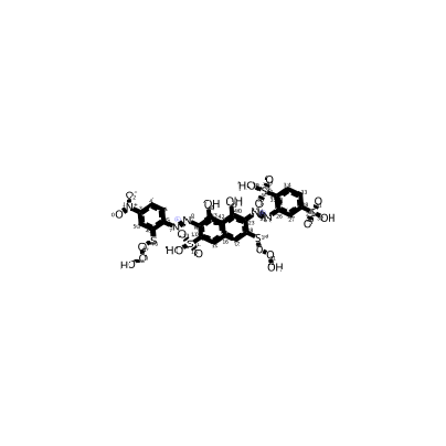 O=[N+]([O-])c1ccc(/N=N/c2c(S(=O)(=O)O)cc3cc(SOOO)c(/N=N/c4cc(S(=O)(=O)O)ccc4S(=O)(=O)O)c(O)c3c2O)c(SOOO)c1